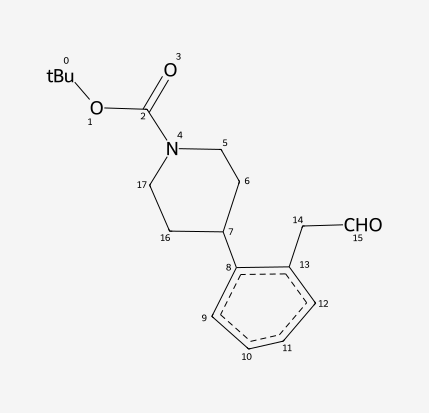 CC(C)(C)OC(=O)N1CCC(c2ccccc2CC=O)CC1